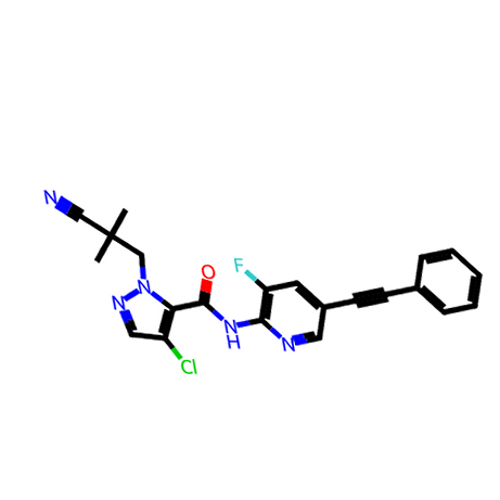 CC(C)(C#N)Cn1ncc(Cl)c1C(=O)Nc1ncc(C#Cc2ccccc2)cc1F